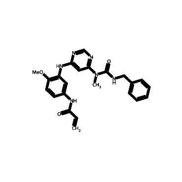 C=CC(=O)Nc1ccc(OC)c(Nc2cc(N(C)C(=O)NCc3ccccc3)ncn2)c1